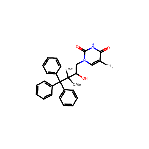 COC(OC)(C(O)Cn1cc(C)c(=O)[nH]c1=O)C(c1ccccc1)(c1ccccc1)c1ccccc1